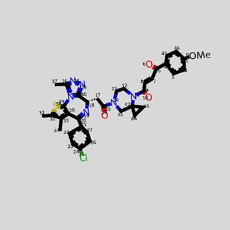 COc1ccc(C(=O)/C=C/C(=O)N2CCN(C(=O)C[C@@H]3N=C(c4ccc(Cl)cc4)c4c(sc(C)c4C)-n4c(C)nnc43)CC23CC3)cc1